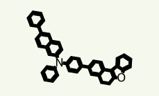 c1ccc(-c2ccc3cc(N(c4ccccc4)c4ccc(-c5ccc6c(c5)CCc5oc7ccccc7c5-6)cc4)ccc3c2)cc1